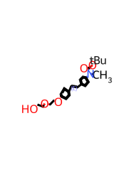 CN(C(=O)OC(C)(C)C)c1ccc(/C=C/c2ccc(OCCOCCO)cc2)cc1